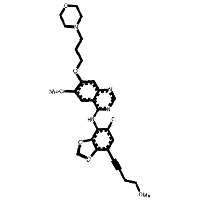 COCCC#Cc1cc(Cl)c(Nc2ncnc3cc(OCCCN4CCOCC4)c(OC)cc23)c2c1OCO2